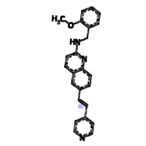 COc1ccccc1CNc1ccc2cc(/C=C/c3ccncc3)ccc2n1